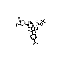 CC(C)c1ccc(C(O)(c2ccnc(N3C[C@@H](F)[C@@H](F)C3)c2)C2(C)CN(C(=O)OC(C)(C)C)C2)cc1